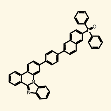 O=P(c1ccccc1)(c1ccccc1)c1ccc2cc(-c3ccc(-c4ccc5c6ccccc6c6nc7ccccc7n6c5c4)cc3)ccc2c1